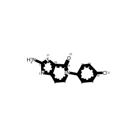 Nc1nc2ccn(-c3ccc(Cl)cc3)c(=O)c2s1